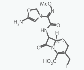 CON=C(C(=O)NC1C(=O)N2C(C(=O)O)=C(CI)CS[C@@H]12)N1C=C(N)OC1